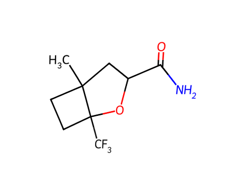 CC12CCC1(C(F)(F)F)OC(C(N)=O)C2